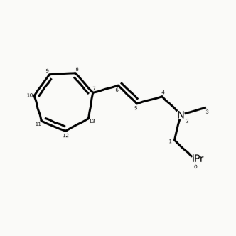 CC(C)CN(C)C/C=C/C1=CC=CC=CC1